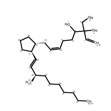 C=CC(O)(CO)C(O)CC/C=C\C[C@H]1CCC[C@@H]1/C=C/[C@H](C)CCCCCCC